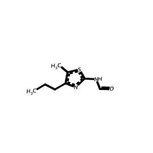 CCCc1nc(NC=O)sc1C